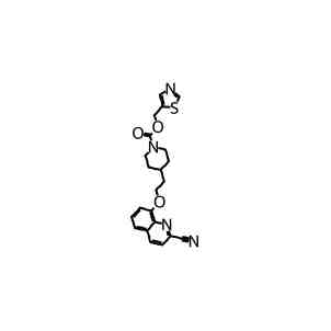 N#Cc1ccc2cccc(OCCC3CCN(C(=O)OCc4cncs4)CC3)c2n1